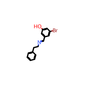 Oc1cc(Br)cc(C=NCCc2ccccc2)c1